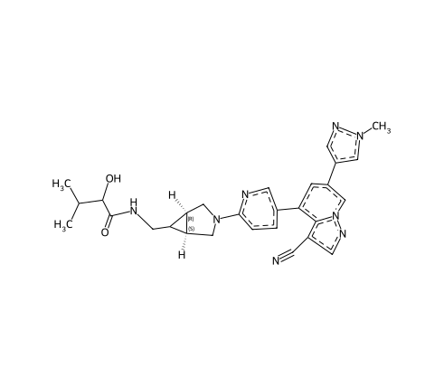 CC(C)C(O)C(=O)NCC1[C@H]2CN(c3ccc(-c4cc(-c5cnn(C)c5)cn5ncc(C#N)c45)cn3)C[C@@H]12